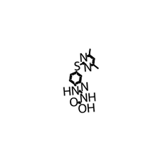 Cc1cc(C)nc(Sc2ccc3[nH]c(NC(=O)O)nc3c2)n1